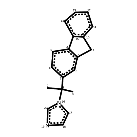 CC(C)(c1ccc2c(c1)Cc1ccccc1-2)n1ccnc1